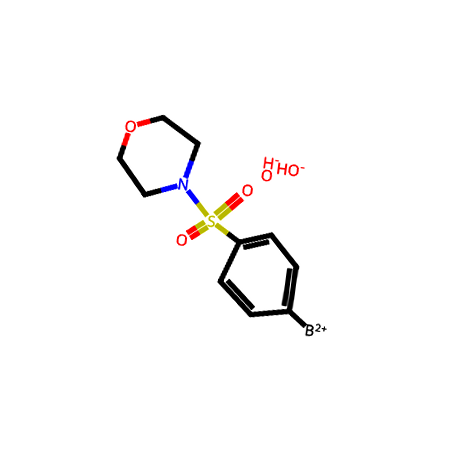 [B+2]c1ccc(S(=O)(=O)N2CCOCC2)cc1.[OH-].[OH-]